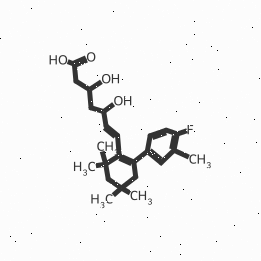 Cc1cc(C2=C(/C=C/C(O)CC(O)CC(=O)O)C(C)(C)CC(C)(C)C2)ccc1F